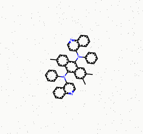 Cc1ccc2c(N(c3ccccc3)c3ccnc4ccccc34)c3cc(C)c(C)cc3c(N(c3ccccc3)c3ccnc4ccccc34)c2c1